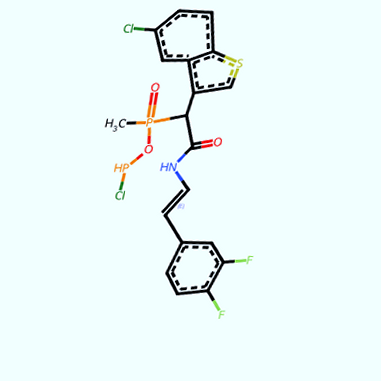 CP(=O)(OPCl)C(C(=O)N/C=C/c1ccc(F)c(F)c1)c1csc2ccc(Cl)cc12